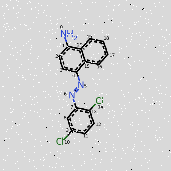 Nc1ccc(N=Nc2cc(Cl)ccc2Cl)c2ccccc12